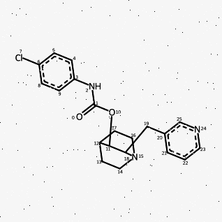 O=C(Nc1ccc(Cl)cc1)OC1C2CCN(CC2)C1Cc1cccnc1